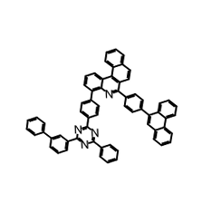 c1ccc(-c2cccc(-c3nc(-c4ccccc4)nc(-c4ccc(-c5cccc6c5nc(-c5ccc(-c7cc8ccccc8c8ccccc78)cc5)c5ccc7ccccc7c56)cc4)n3)c2)cc1